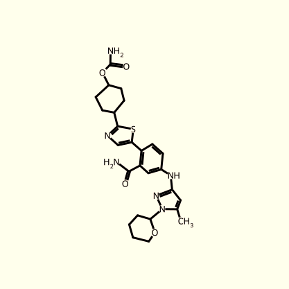 Cc1cc(Nc2ccc(-c3cnc(C4CCC(OC(N)=O)CC4)s3)c(C(N)=O)c2)nn1C1CCCCO1